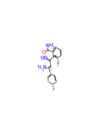 N=C(/C=C(\N)C1=CCC(F)C=C1)c1c(F)cccc1C(N)=O